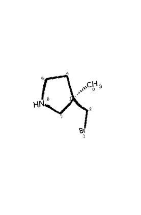 C[C@@]1(CBr)CCNC1